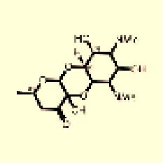 CNC1C(O)C(NC)[C@H](O)[C@H]2OC3O[C@H](C)CC(=O)C3(O)OC12